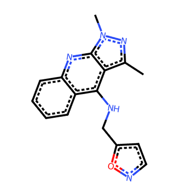 Cc1nn(C)c2nc3ccccc3c(NCc3ccno3)c12